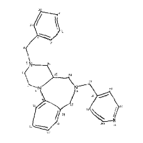 c1ccc(CN2CCN3c4ccccc4CN(Cc4ccncc4)CC3C2)cc1